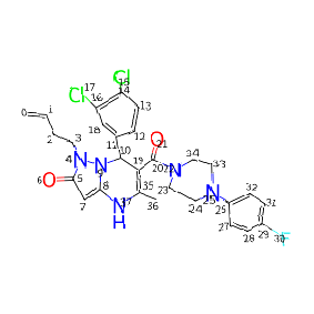 C=CCCn1c(=O)cc2n1C(c1ccc(Cl)c(Cl)c1)C(C(=O)N1CCN(c3ccc(F)cc3)CC1)=C(C)N2